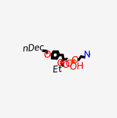 CCCCCCCCCCCCOc1ccc(CC(COP(O)OCCCN(C)C)OC(=O)CC)cc1